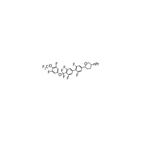 CCCC1CCC(c2cc(F)c(-c3cc(F)c(C(F)(F)Oc4cc(F)c(OC(F)(F)F)c(F)c4)c(F)c3)c(F)c2)OC1